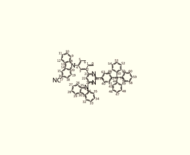 C=C/C(=C\C(=C/C)n1c2ccccc2c2cc(C#N)ccc21)c1cc(-n2c3ccccc3c3ccccc32)nc(-c2ccc(C(c3ccccc3)(c3ccccc3)c3ccccc3)cc2)n1